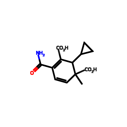 CC1(C(=O)O)C=CC(C(N)=O)=C(C(=O)O)C1C1CC1